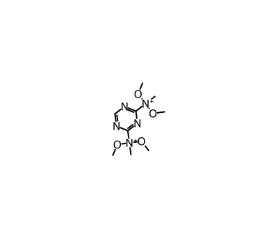 CO[N+](C)(OC)c1ncnc([N+](C)(OC)OC)n1